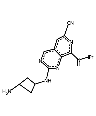 CC(C)Nc1nc(C#N)cc2cnc(NC3CC(N)C3)nc12